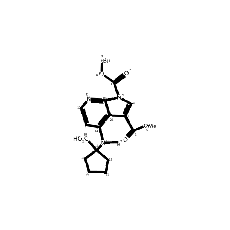 COC(=O)c1cn(C(=O)OC(C)(C)C)c2nccc(N(C)C3(C(=O)O)CCCC3)c12